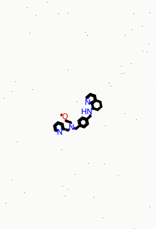 COCCN(Cc1ccc(CNC2CCCc3cccnc32)cc1)Cc1ccccn1